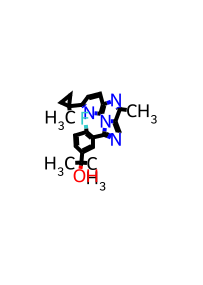 Cc1nc2ccc(C3(C)CC3)nc2n2c(-c3cc(C(C)(C)O)ccc3F)ncc12